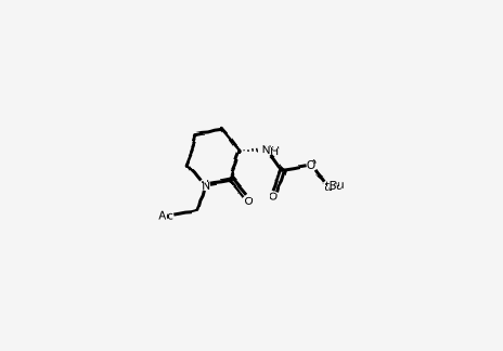 CC(=O)CN1CCC[C@H](NC(=O)OC(C)(C)C)C1=O